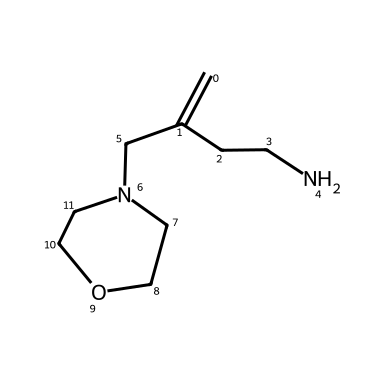 C=C(CCN)CN1CCOCC1